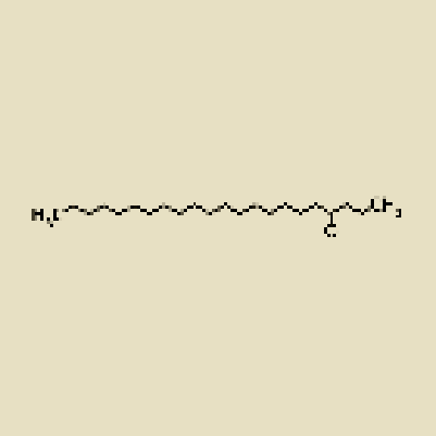 CCCCCCCCCCCCCCCCCCC([O])CCC